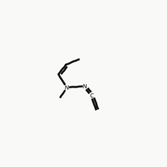 C=C=NN(C)/C=C\C